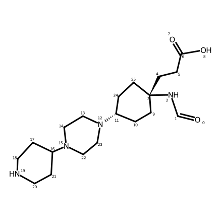 O=CN[C@]1(CCC(=O)O)CC[C@H](N2CCN(C3CCNCC3)CC2)CC1